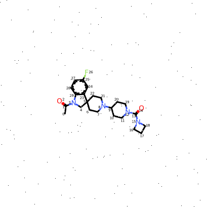 CC(=O)N1CC2(CCN(C3CCN(C(=O)N4CCC4)CC3)CC2)c2cc(F)ccc21